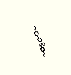 CCCc1ccc(OC(=O)[C@H]2CC[C@H]([C@H]3CC[C@H](CCC)CC3)CC2)cc1